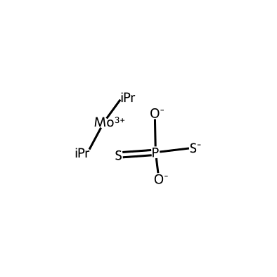 C[CH](C)[Mo+3][CH](C)C.[O-]P([O-])(=S)[S-]